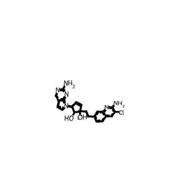 Nc1ncc2ccn(C3C=CC(O)(CCc4ccc5cc(Cl)c(N)nc5c4)C3O)c2n1